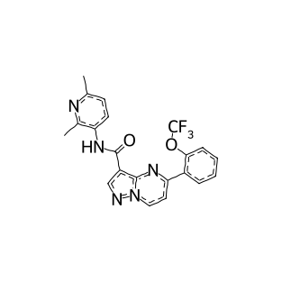 Cc1ccc(NC(=O)c2cnn3ccc(-c4ccccc4OC(F)(F)F)nc23)c(C)n1